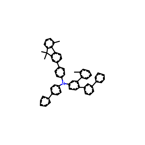 Cc1ccccc1-c1cc(N(c2ccc(-c3ccccc3)cc2)c2ccc(-c3ccc4c(c3)C(C)(C)c3cccc(C)c3-4)cc2)ccc1-c1cccc(-c2ccccc2)c1